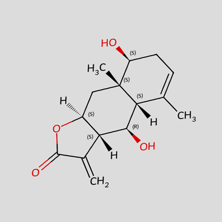 C=C1C(=O)O[C@H]2C[C@@]3(C)[C@H](C(C)=CC[C@@H]3O)[C@@H](O)[C@H]12